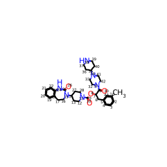 Cc1cccc(CC(OC(=O)N2CCC(N3CCc4ccccc4NC3=O)CC2)C(=O)N2CCN(C3CCNCC3)CC2)c1